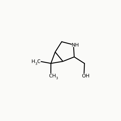 CC1(C)C2CNC(CO)C21